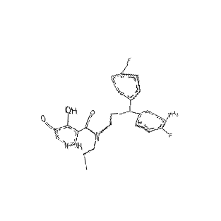 CCCN(CCC(c1ccc(F)cc1)c1ccc(F)c(P)c1)C(=O)c1[nH]ncc(=O)c1O